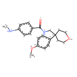 CNc1ccc(C(=O)NCC2(c3ccc(OC)cc3)CCOCC2)cc1